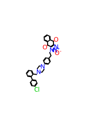 O=C1c2ccccc2C(=O)c2c1n[n+]([O-])n2CCc1ccc(N2CCN(Cc3ccccc3-c3ccc(Cl)cc3)CC2)cc1